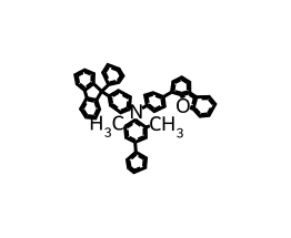 Cc1cc(-c2ccccc2)cc(C)c1N(c1ccc(-c2cccc3c2oc2ccccc23)cc1)c1ccc(C2(c3ccccc3)c3ccccc3-c3ccccc32)cc1